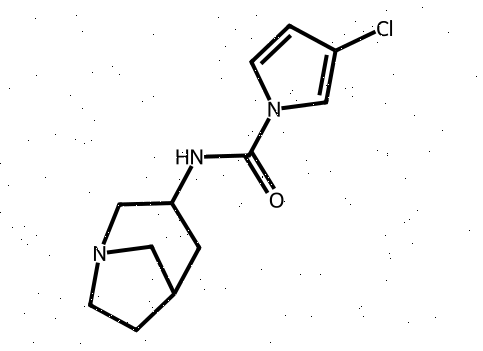 O=C(NC1CC2CCN(C2)C1)n1ccc(Cl)c1